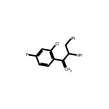 C=C(c1ccc(F)cc1Cl)C(CCC)CC(C)C